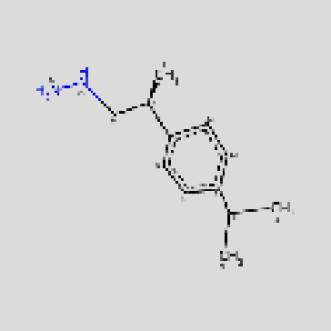 CC(C)c1ccc([C@H](C)CNN)cc1